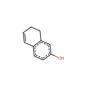 Oc1ccc2c(c1)CCC=C2